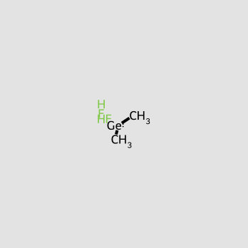 F.F.[CH3][Ge][CH3]